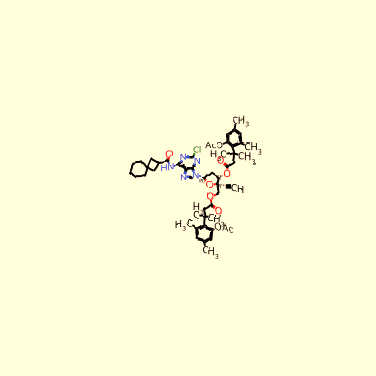 C#C[C@]1(COC(=O)CC(C)(C)c2c(C)cc(C)cc2OC(C)=O)O[C@@H](n2cnc3c(NC(=O)C4CC5(CCCCC5)C4)nc(Cl)nc32)C[C@@H]1OC(=O)CC(C)(C)c1c(C)cc(C)cc1OC(C)=O